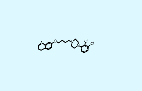 Clc1cccc(N2CCN(CCCCOc3ccc4c(c3)N=CCC4)CC2)c1Cl